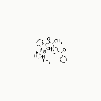 CC[C@@H](c1ccccc1OC(=O)C(C)c1cccc(C(=O)c2ccccc2)c1)[C@@H](C)CN(C)C